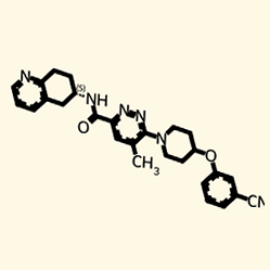 Cc1cc(C(=O)N[C@H]2CCc3ncccc3C2)nnc1N1CCC(Oc2cccc(C#N)c2)CC1